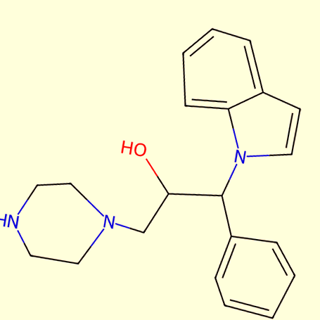 OC(CN1CCNCC1)C(c1ccccc1)n1ccc2ccccc21